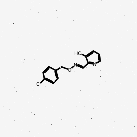 Oc1cccnc1C=NOCc1ccc(Cl)cc1